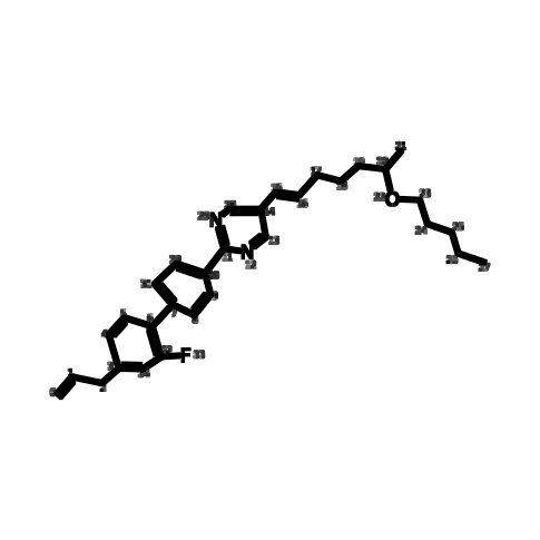 C=CCc1ccc(-c2ccc(-c3ncc(C=CCCCC(C)OCCCCC)cn3)cc2)c(F)c1